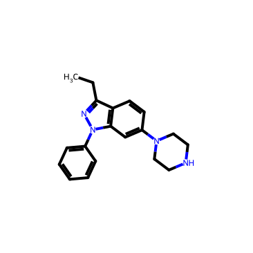 CCc1nn(-c2ccccc2)c2cc(N3CCNCC3)ccc12